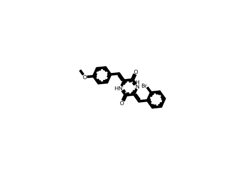 COc1ccc(/C=c2\[nH]c(=O)/c(=C/c3ccccc3Br)[nH]c2=O)cc1